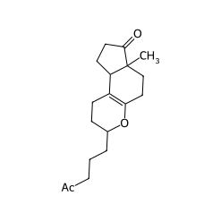 CC(=O)CCCC1CCC2=C(CCC3(C)C(=O)CCC23)O1